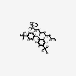 CC(C)(C)c1ccc([I+]c2ccc(C(C)(C)C)cc2)cc1.CCCCCCCCS(=O)(=O)[O-]